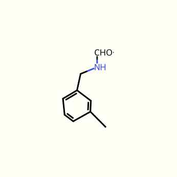 Cc1cccc(CN[C]=O)c1